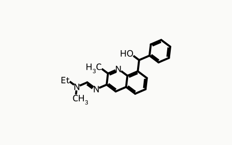 CCN(C)C=Nc1cc2cccc(C(O)c3ccccc3)c2nc1C